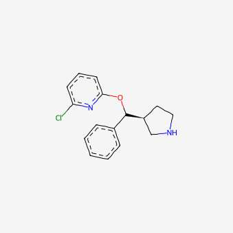 Clc1cccc(OC(c2ccccc2)[C@H]2CCNC2)n1